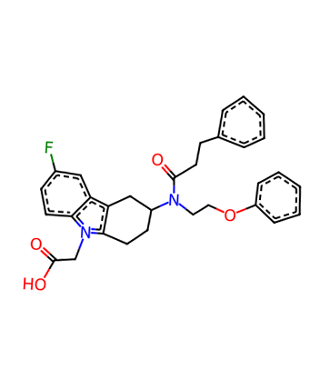 O=C(O)Cn1c2c(c3cc(F)ccc31)CC(N(CCOc1ccccc1)C(=O)CCc1ccccc1)CC2